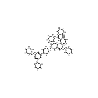 c1ccc(-c2cc(-c3ccc(-c4ccc5c(c4)nc(-c4ccccc4)c4ccc6c7ccccc7n(-c7ccccc7)c6c45)cc3)nc(-c3ccccc3)n2)cc1